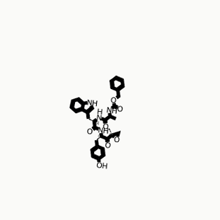 CC(NC(=O)OCc1ccccc1)C(=O)N[C@@H](Cc1c[nH]c2ccccc12)C(=O)N[C@@H](Cc1ccc(O)cc1)C(=O)[C@@]1(C)CO1